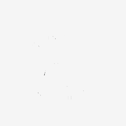 C[C@@H]1C[C@H](c2ccncc2CC(=O)OC(C)(C)C)O[C@@H]2CCC(=O)N[C@H]12